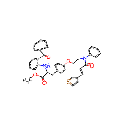 COC(=O)[C@H](Cc1ccc(OCCN(C(=O)/C=C/c2ccsc2)c2ccccc2)cc1)Nc1ccccc1C(=O)c1ccccc1